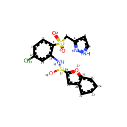 O=S(=O)(Cc1cc[nH]n1)c1ccc(Cl)cc1N[S+]([O-])c1cc2ccccc2o1